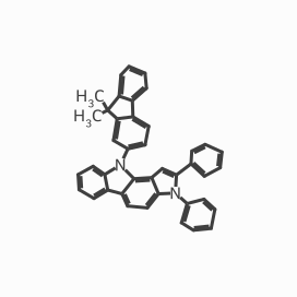 CC1(C)c2ccccc2-c2ccc(-n3c4ccccc4c4ccc5c(cc(-c6ccccc6)n5-c5ccccc5)c43)cc21